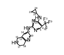 FC(F)(F)c1cnc(Nc2cnc3c(c2)CNCC3)nc1NC1CC1